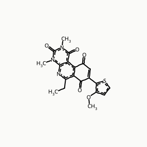 CCc1nc2c(c3c1C(=O)C(c1sccc1OC)=CC3=O)c(=O)n(C)c(=O)n2C